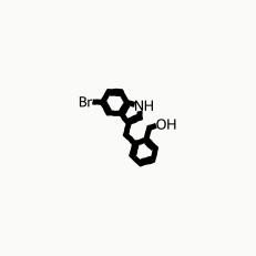 OCc1ccccc1Cc1c[nH]c2ccc(Br)cc12